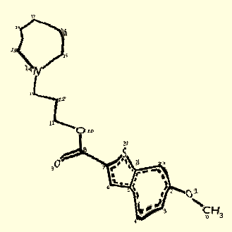 COc1ccc2cc(C(=O)OCCCN3CCCCC3)sc2c1